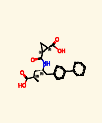 C[C@H](C[C@@H](Cc1ccc(-c2ccccc2)cc1)NC(=O)[C@H]1C[C@H]1C(=O)O)C(=O)O